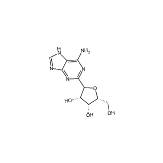 Nc1nc(C2O[C@H](CO)[C@H](O)[C@@H]2O)nc2nc[nH]c12